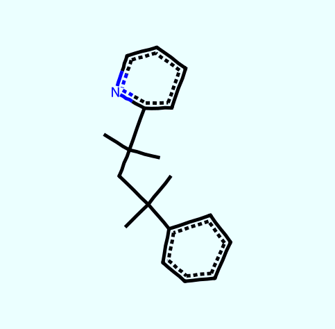 CC(C)(CC(C)(C)c1ccccn1)c1ccccc1